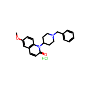 COc1ccc2c(ccc(=O)n2C2CCN(Cc3ccccc3)CC2)c1.Cl